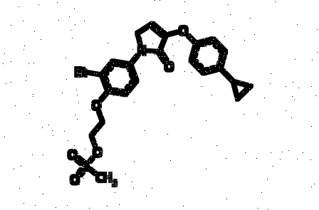 CCc1cc(N2CC=C(Oc3ccc(C4CC4)cc3)C2=O)ccc1OCCOS(C)(=O)=O